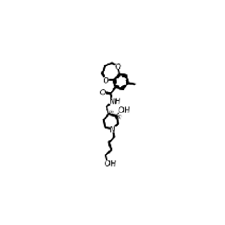 Cc1cc2c(c(C(=O)NC[C@@H]3CCN(CCCCO)C[C@H]3O)c1)OCCCO2